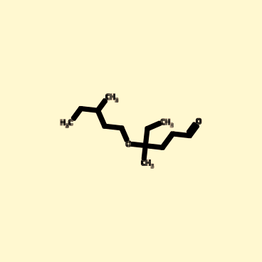 CCC(C)CCOC(C)(CC)CCC=O